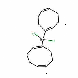 [Cl][Rh]([Cl])([C]1=CCCC=CCC1)[C]1=CCCC=CCC1